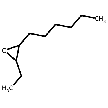 CCCCCCC1OC1CC